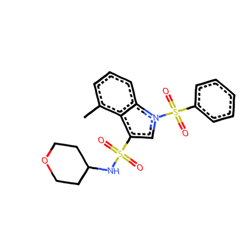 Cc1cccc2c1c(S(=O)(=O)NC1CCOCC1)cn2S(=O)(=O)c1ccccc1